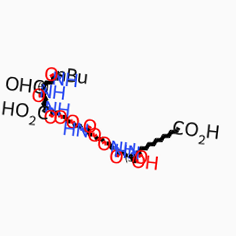 CCCCNC(=O)CC[C@@H](C=O)NC(=O)CCC(NC(=O)COCCOCCNC(=O)COCCOCCNC(=O)CC[C@@H](CO)NC(=O)CCCCCCCCCCC(=O)O)C(=O)O